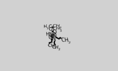 CCCC[N+](CCCC)(CCCC)S(=O)(=O)NC(=O)OC(C)(C)C